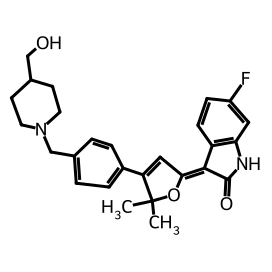 CC1(C)OC(=C2C(=O)Nc3cc(F)ccc32)C=C1c1ccc(CN2CCC(CO)CC2)cc1